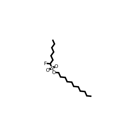 CCCCCCCCCCCOS(=O)(=O)C(F)CCCCCC